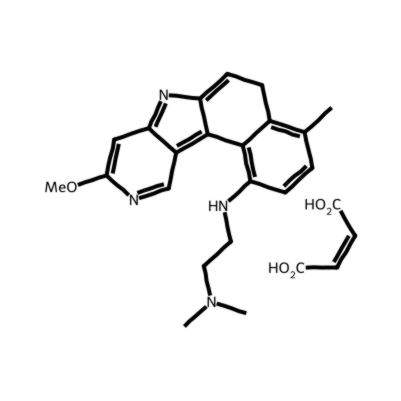 COc1cc2c(cn1)=C1C(=CCc3c(C)ccc(NCCN(C)C)c31)N=2.O=C(O)/C=C\C(=O)O